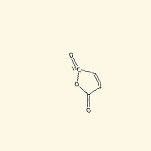 O=C1C=C[13C](=O)O1